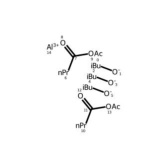 CCC(C)[O-].CCC(C)[O-].CCC(C)[O-].CCCC(=O)OC(C)=O.CCCC(=O)OC(C)=O.[Al+3]